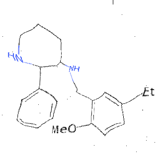 CCc1ccc(OC)c(CNC2CCCNC2c2ccccc2)c1